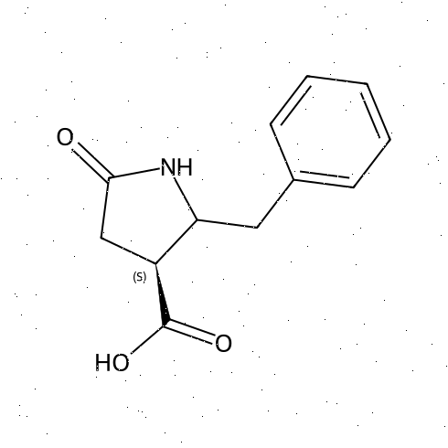 O=C1C[C@H](C(=O)O)C(Cc2ccccc2)N1